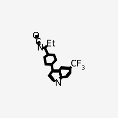 CCC(N=C=O)C1CCC(c2ccnc3ccc(C(F)(F)F)cc23)CC1